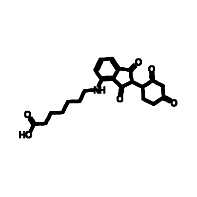 O=C(O)CCCCCCNc1cccc2c1C(=O)C(C1CCC(=O)CC1=O)C2=O